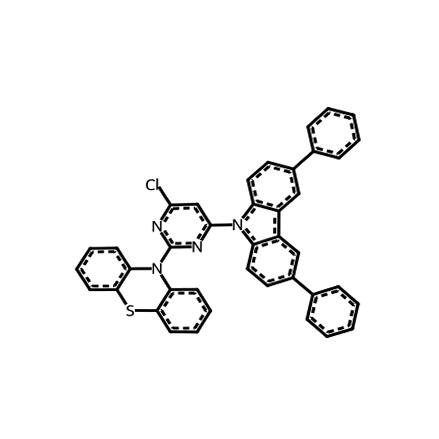 Clc1cc(-n2c3ccc(-c4ccccc4)cc3c3cc(-c4ccccc4)ccc32)nc(N2c3ccccc3Sc3ccccc32)n1